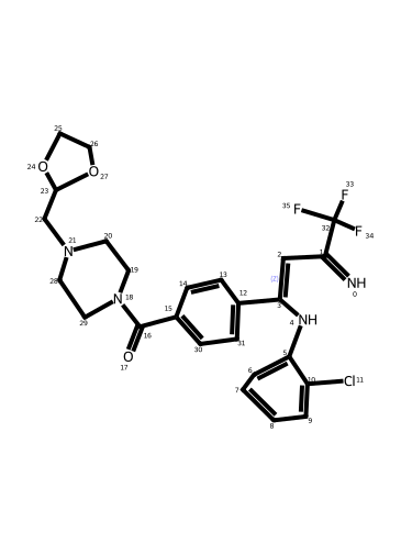 N=C(/C=C(\Nc1ccccc1Cl)c1ccc(C(=O)N2CCN(CC3OCCO3)CC2)cc1)C(F)(F)F